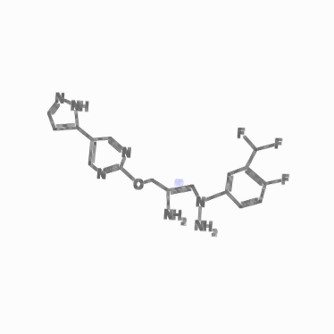 N/C(=C\N(N)c1ccc(F)c(C(F)F)c1)COc1ncc(-c2ccn[nH]2)cn1